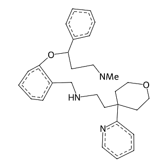 CNCCC(Oc1ccccc1CNCCC1(c2ccccn2)CCOCC1)c1ccccc1